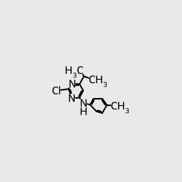 Cc1ccc(Nc2cc(C(C)C)nc(Cl)n2)cc1